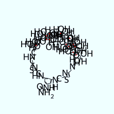 NC(=O)Nc1cc2cc(c1)NCc1nc(cs1)CNC[C@H]1O[C@@H]3O[C@H]4C(O)C(O)[C@H](O[C@@H]4CO)O[C@H]4C(O)C(O)[C@H](O[C@@H]4CO)O[C@H]4C(O)C(O)[C@H](O[C@@H]4CO)O[C@H]4C(O)C(O)[C@H](O[C@@H]4CNCc4csc(n4)CN2)O[C@H]2C(O)C(O)[C@H](O[C@@H]2CO)O[C@H]2C(O)C(O)[C@H](O[C@@H]2CO)O[C@H]1C(O)C3O